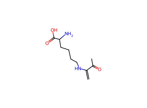 C=C(NCCCCC(N)C(=O)O)C(C)=O